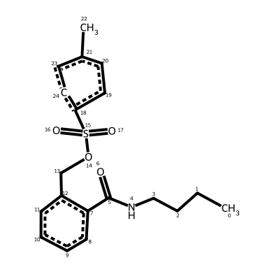 CCCCNC(=O)c1ccccc1COS(=O)(=O)c1ccc(C)cc1